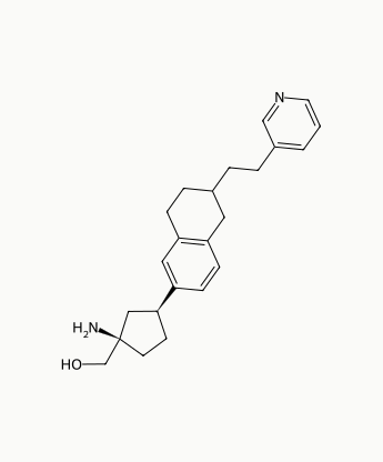 N[C@]1(CO)CC[C@H](c2ccc3c(c2)CCC(CCc2cccnc2)C3)C1